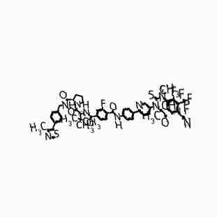 Cc1ncsc1-c1ccc(CNC(=O)C2CCCN2C(=O)[C@@H](NC(=O)c2ccc(C(=O)Nc3ccc(-c4ccc(N(C(=S)N(C)c5ccc(C#N)c(C(F)(F)F)c5F)C(C)(C)C=O)cn4)cc3)c(F)c2)C(C)(C)C)cc1